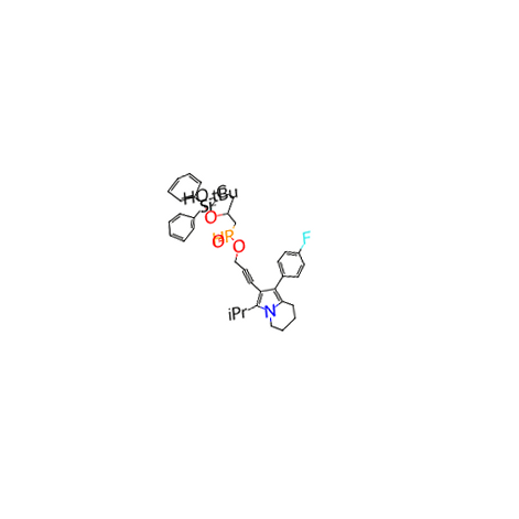 CC(C)c1c(C#CCO[PH](=O)CC(CC(=O)O)O[Si](c2ccccc2)(c2ccccc2)C(C)(C)C)c(-c2ccc(F)cc2)c2n1CCCC2